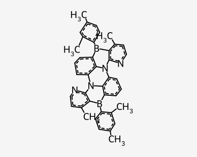 Cc1ccc(B2c3cccc4c3N(c3cccc5c3N4c3nccc(C)c3B5c3ccc(C)cc3C)c3nccc(C)c32)c(C)c1